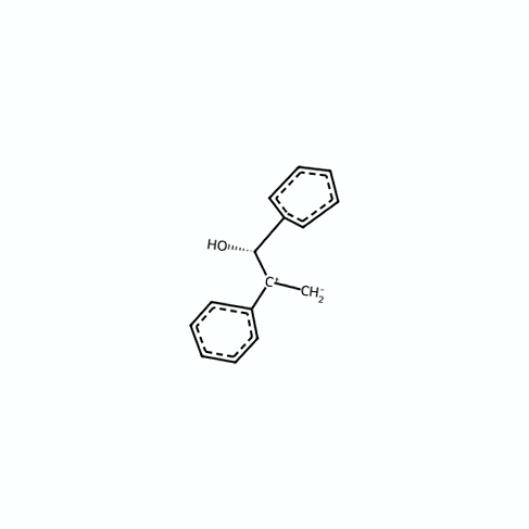 [CH2-][C+](c1ccccc1)[C@H](O)c1ccccc1